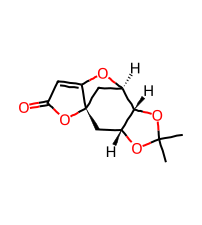 CC1(C)O[C@H]2[C@H]3C[C@]4(C[C@H]2O1)OC(=O)C=C4O3